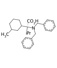 CC1CCCC([C@](C(=O)O)(C(C)C)N(Cc2ccccc2)Cc2ccccc2)C1